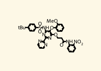 COc1ccccc1Oc1c(NS(=O)(=O)c2ccc(C(C)(C)C)cc2)nc(-c2ncccn2)nc1OCCC(=O)Nc1ccccc1[N+](=O)[O-]